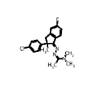 CC(=NN=C1c2ccc(Cl)cc2CC1(C)c1ccc(Cl)cc1)N(C)C